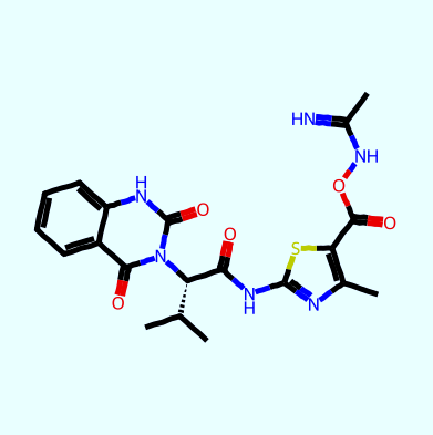 CC(=N)NOC(=O)c1sc(NC(=O)[C@H](C(C)C)n2c(=O)[nH]c3ccccc3c2=O)nc1C